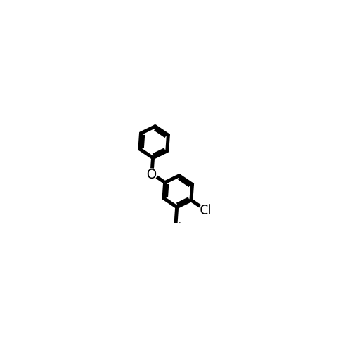 [CH2]c1cc(Oc2ccccc2)ccc1Cl